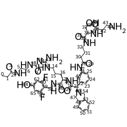 CCC(=O)NCCNC(=O)/N=C(/N)NCCC[C@@H](NC(=O)C(c1cccc(NC(=O)CCCNC(=O)[C@@H](CO)NC(=O)CCN)c1)N1Cc2ccccc2C1)C(=O)NCc1c(F)cc(O)cc1F